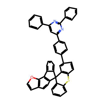 c1ccc(-c2cc(-c3ccc(-c4ccc5c(c4)C4(c6ccccc6S5)c5ccccc5-c5c4ccc4ccoc54)cc3)nc(-c3ccccc3)n2)cc1